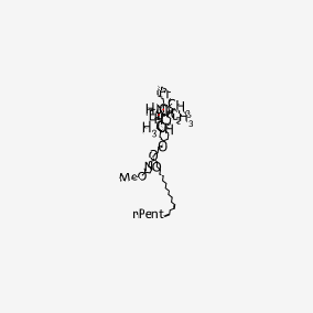 CCCCC/C=C\C/C=C\CCCCCCCCCCOCC(CN1CCC(OC)C1)OCCO[C@H]1CC[C@@]2(C)C(=CC[C@@H]3[C@@H]2CC[C@](C)([C@H](C)[C@H](C)CCCC(C)C)[C@@]3(N)CC)C1